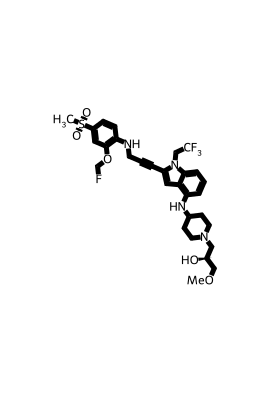 COC[C@@H](O)CN1CCC(Nc2cccc3c2cc(C#CCNc2ccc(S(C)(=O)=O)cc2OCF)n3CC(F)(F)F)CC1